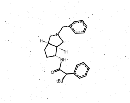 CC(C)(C)[C@@H](C(=O)N[C@@H]1CC[C@H]2CN(Cc3ccccc3)C[C@H]21)c1ccccc1